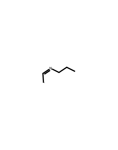 [CH2]/C=N\CCC